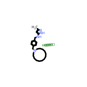 Cc1cc(NCc2ccc(CN3CCCCCCCCCCCCC3)cc2)[nH]n1.Cl.Cl.Cl.Cl.Cl